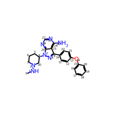 CNN1CCC[C@@H](n2nc(-c3ccc(Oc4ccccc4)cc3)c3c(N)ncnc32)C1